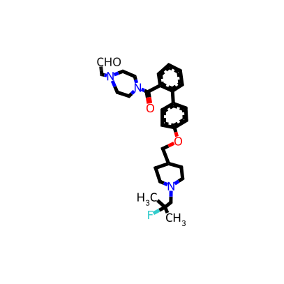 CC(C)(F)CN1CCC(COc2ccc(-c3ccccc3C(=O)N3CCN(CC=O)CC3)cc2)CC1